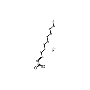 CCCCCCCCCC=CC(=O)[O-].[K+]